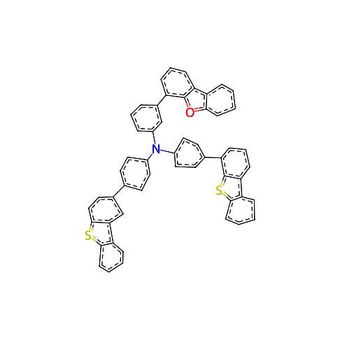 c1cc(-c2cccc3c2oc2ccccc23)cc(N(c2ccc(-c3ccc4sc5ccccc5c4c3)cc2)c2ccc(-c3cccc4c3sc3ccccc34)cc2)c1